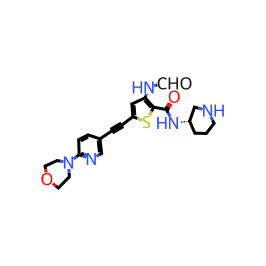 O=CNc1cc(C#Cc2ccc(N3CCOCC3)nc2)sc1C(=O)N[C@H]1CCCNC1